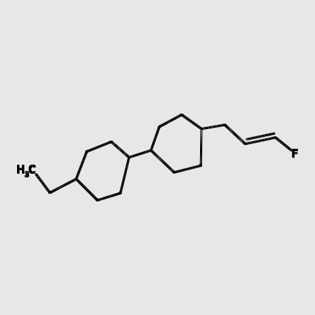 CCC1CCC(C2CCC(CC=CF)CC2)CC1